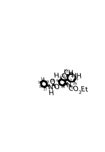 CCOC(=O)n1c2c(c3ccc(OC(=O)Nc4ccccc4)cc31)C(C)(C)CNC=C2